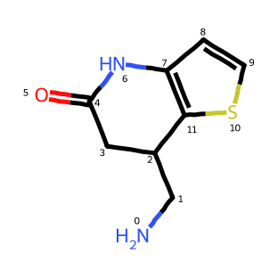 NCC1CC(=O)Nc2ccsc21